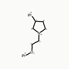 CC(C)OCCN1CCC(C(C)C)C1